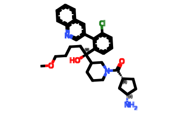 COCCCC[C@](O)(c1cccc(Cl)c1-c1cnc2ccccc2c1)C1CCCN(C(=O)[C@@H]2CC[C@H](N)C2)C1